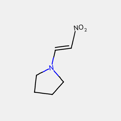 O=[N+]([O-])C=CN1CCCC1